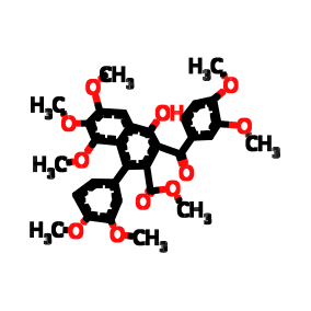 COC(=O)c1c(C(=O)c2ccc(OC)c(OC)c2)c(O)c2cc(OC)c(OC)c(OC)c2c1-c1ccc(OC)c(OC)c1